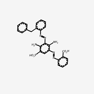 Nc1c(/N=N/c2ccccc2C(=O)O)cc(S(=O)(=O)O)c(N)c1/N=N/c1ccccc1Cc1ccccc1